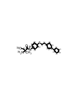 C[C@](N)(CO)C(=O)Nc1ccc(SCCc2ccc(-c3ccccc3)cc2)cc1